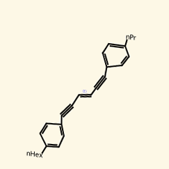 CCCCCCc1ccc(C#C/C=C/C#Cc2ccc(CCC)cc2)cc1